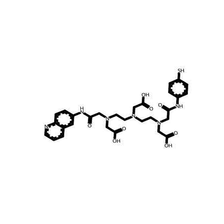 O=C(O)CN(CCN(CC(=O)O)CC(=O)Nc1ccc(S)cc1)CCN(CC(=O)O)CC(=O)Nc1ccc2ncccc2c1